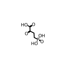 O=C(O)C(=O)CCP(=O)(O)O